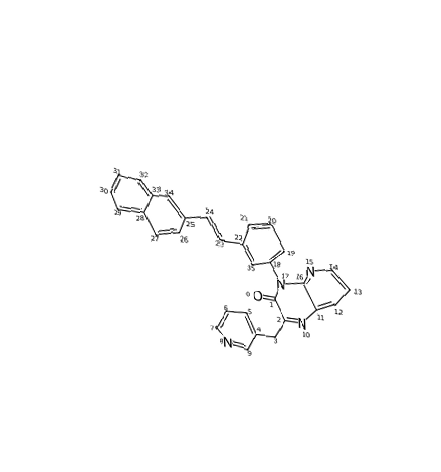 O=c1c(Cc2cccnc2)nc2cccnc2n1-c1cccc(C=Cc2ccc3ccccc3c2)c1